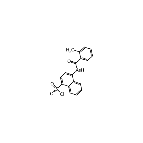 Cc1ccccc1C(=O)[AsH]c1ccc(S(=O)(=O)Cl)c2ccccc12